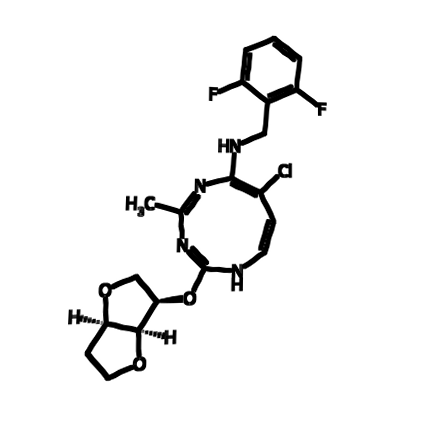 Cc1nc(O[C@@H]2CO[C@@H]3CCO[C@@H]32)[nH]ccc(Cl)c(NCc2c(F)cccc2F)n1